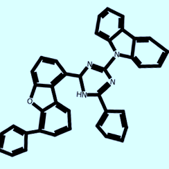 c1ccc(C2=NC(n3c4ccccc4c4ccccc43)=NC(c3cccc4oc5c(-c6ccccc6)cccc5c34)N2)cc1